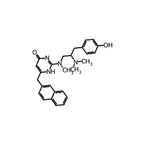 CN(CC(Cc1ccc(O)cc1)N(C)C)c1nc(=O)cc(Cc2ccc3ccccc3c2)[nH]1